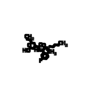 C=CCCC[C@H](CC(=O)O)C(=O)N[C@H](C(=O)N(C)CCCC=C)c1cccc(F)c1